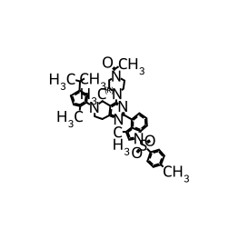 CC(=O)N1CCN(c2nc(-c3cccc4c3c(C)cn4S(=O)(=O)c3ccc(C)cc3)nc3c2CN(c2cc(C(C)C)ccc2C)CC3)[C@H](C)C1